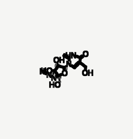 C=C1NC(=O)C(CO)=CN1[C@@H]1O[C@@](CO)(N=[N+]=[N-])C(O)[C@@H]1O